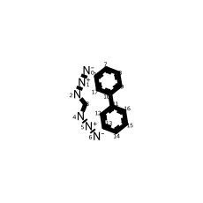 [N-]=[N+]=NCN=[N+]=[N-].c1ccc(-c2ccccc2)cc1